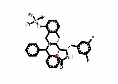 CC(C)[Si](Oc1cccc2c1CN(C(c1ccccc1)c1ccccc1)[C@@H]([C@H]1OC(=O)N[C@H]1Cc1cc(F)cc(F)c1)C2)(C(C)C)C(C)C